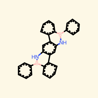 c1ccc(B2Nc3cc4c(cc3-c3ccccc32)NB(c2ccccc2)c2ccccc2-4)cc1